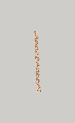 P#P=P\P=P/P=P\P=P/P=P\P=P/P=P\P=P/P=P\P=P/P=P\P=P/P=P\P=P/P=P\P=P/P=P\P=P/P=P\P=P/P=P